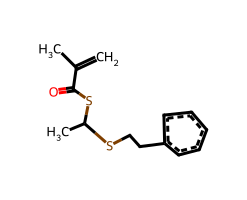 C=C(C)C(=O)SC(C)SCCc1ccccc1